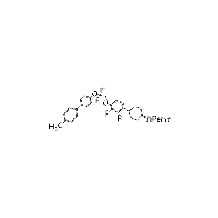 CCCCCC1CCC(c2ccc(OCC(F)(F)Oc3ccc(-c4ccc(C)cc4)cc3)c(F)c2F)CC1